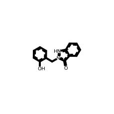 O=c1c2ccccc2[nH]n1Cc1ccccc1O